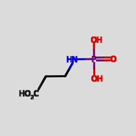 O=C(O)CCNP(=O)(O)O